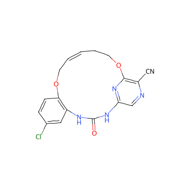 N#Cc1ncc2nc1OCCC=CCOc1ccc(Cl)cc1NC(=O)N2